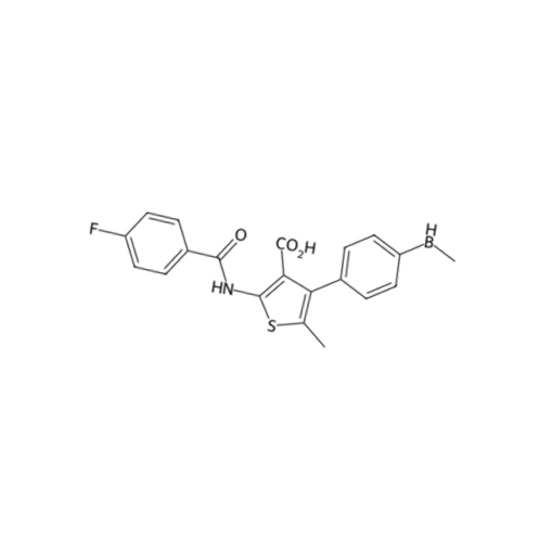 CBc1ccc(-c2c(C)sc(NC(=O)c3ccc(F)cc3)c2C(=O)O)cc1